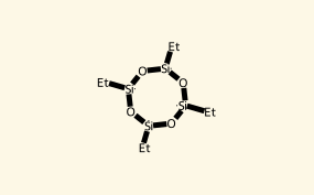 CC[Si]1O[Si](CC)O[Si](CC)O[Si](CC)O1